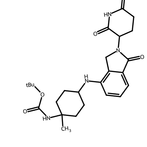 CC1(NC(=O)OC(C)(C)C)CCC(Nc2cccc3c2CN(C2CCC(=O)NC2=O)C3=O)CC1